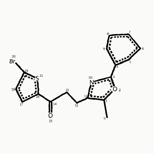 Cc1oc(-c2ccccc2)nc1CCC(=O)c1ccc(Br)s1